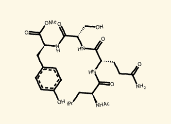 COC(=O)[C@H](Cc1ccc(O)cc1)NC(=O)[C@H](CO)NC(=O)[C@H](CCC(N)=O)NC(=O)[C@H](CC(C)C)NC(C)=O